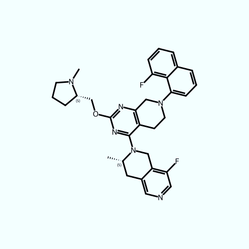 C[C@H]1Cc2cncc(F)c2CN1c1nc(OC[C@@H]2CCCN2C)nc2c1CCN(c1cccc3cccc(F)c13)C2